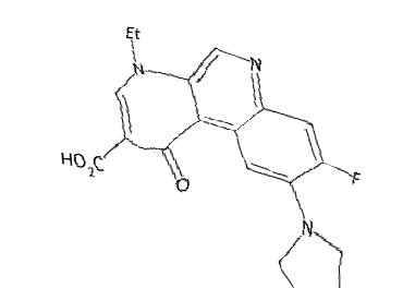 CCn1cc(C(=O)O)c(=O)c2c3cc(N4CCCC4)c(F)cc3ncc21